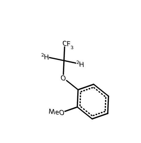 [2H]C([2H])(Oc1ccccc1OC)C(F)(F)F